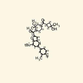 Cc1cc(-c2cc(C(C)(C)C)c3oc(C(=O)N4CCN(C(=O)C5CC(C)(O)C5)CC4(C)C)cc3n2)ccc1F